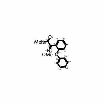 CNC(=O)/C(=N/OC)c1ccccc1Oc1ccccc1